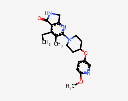 CCc1c(C)c(N2CCC(Oc3ccc(OC)nc3)CC2)nc2c1C(=O)NC2